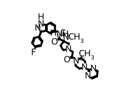 C[C@@H]1CN(c2ncccn2)CCN1C(=O)CN1CCC(C(=O)Nc2ccc3[nH]nc(-c4ccc(F)cc4)c3c2)(N(C)C)C1